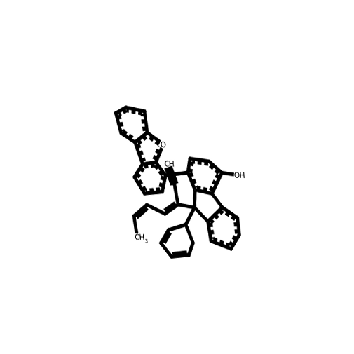 C#C/C(=C\C=C/C)C1(C2C=CC=CC2)c2ccccc2-c2c(O)ccc(-c3cccc4c3oc3ccccc34)c21